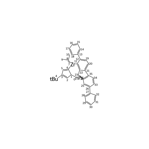 CCCC1C=C(C(C)(C)C)C=[C]1[Zr](=[C](C)C)[c]1c(-c2ccccc2)ccc2c1Cc1cc(-c3ccccc3)ccc1-2